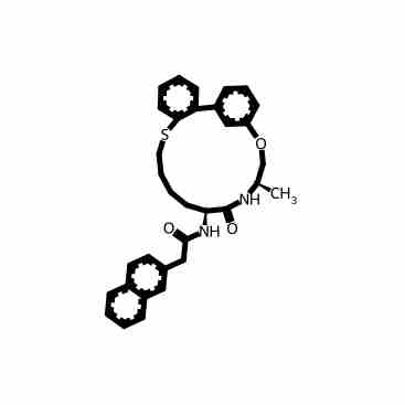 C[C@@H]1COc2cccc(c2)-c2ccccc2SCCCC[C@H](NC(=O)Cc2ccc3ccccc3c2)C(=O)N1